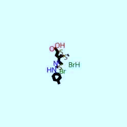 Br.CSc1sc(C(=O)O)cc1-c1csc(Nc2ccc(C)cc2Br)n1